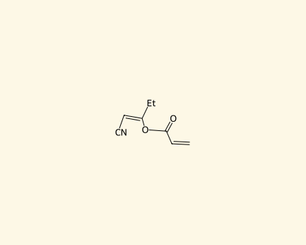 C=CC(=O)OC(=CC#N)CC